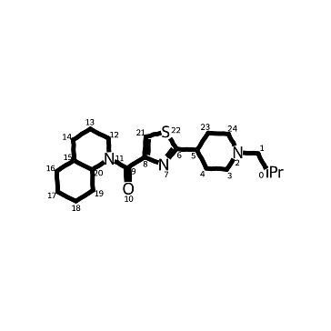 CC(C)CN1CCC(c2nc(C(=O)N3CCCC4CCCCC43)cs2)CC1